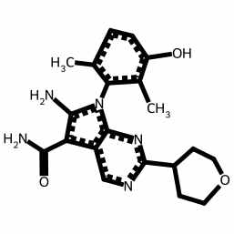 Cc1ccc(O)c(C)c1-n1c(N)c(C(N)=O)c2cnc(C3CCOCC3)nc21